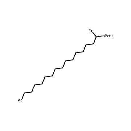 CCCCCC(CC)CCCCCCCCCCCCCCC(C)=O